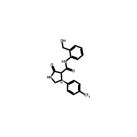 O=C1NC[C@H](c2ccc(C(F)(F)F)cc2)C1C(=O)Nc1ccccc1CO